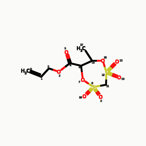 C=CCOC(=O)C1OS(=O)(=O)CS(=O)(=O)OC1C